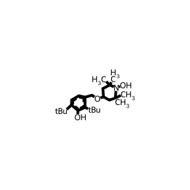 CC(C)(C)c1ccc(COC2CC(C)(C)N(O)C(C)(C)C2)c(C(C)(C)C)c1O